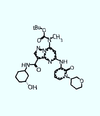 CN(C(=O)OC(C)(C)C)c1cc(Nc2cccn([C@@H]3CCCOC3)c2=O)nc2c(C(=O)NC3CCC[C@@H](O)C3)cnn12